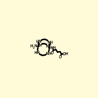 CN1CCCN(C)[C@]2(NC(=O)CCCC(=O)O)CNCCCNC[C@@]1(N)CNCCCNC2